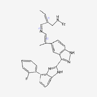 C\C=C(/C=N\C=C(/C)c1ccc2[nH]nc(-c3nc4c(-c5ccccc5F)cccc4[nH]3)c2c1)CNCC